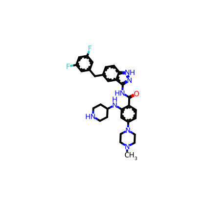 CN1CCN(c2ccc(C(=O)Nc3n[nH]c4ccc(Cc5cc(F)cc(F)c5)cc34)c(NC3CCNCC3)c2)CC1